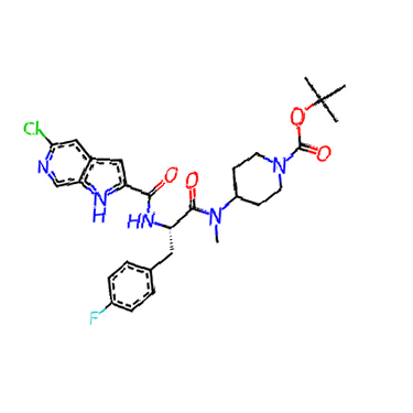 CN(C(=O)[C@H](Cc1ccc(F)cc1)NC(=O)c1cc2cc(Cl)ncc2[nH]1)C1CCN(C(=O)OC(C)(C)C)CC1